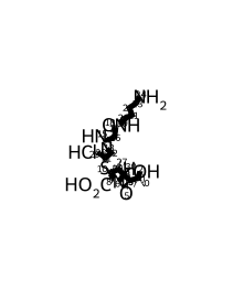 C[C@@H](O)[C@H]1C(=O)N2C(C(=O)O)=C(SC3CN(C(=N)CC(=O)NCCCCN)C3)[C@H](C)[C@H]12.Cl